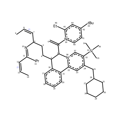 C=C(C1C(CCC(/C=C\C)N=C(/C=C\C)C(C)C)c2ccccc2-c2cc(CC3CCCCC3)c([Si](C)(C)C)c[n+]21)[n+]1ccc(C(C)(C)C)cc1CC